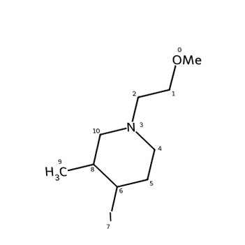 COCCN1CCC(I)C(C)C1